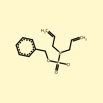 C=CCN(CC=C)P(=O)(Cl)OCc1ccccc1